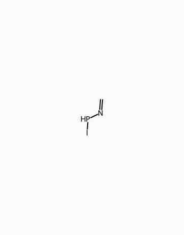 C=NPI